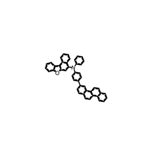 c1ccc(N(c2ccc(-c3ccc4ccc5c6ccccc6ccc5c4c3)cc2)c2cc3oc4ccccc4c3c3ccccc23)cc1